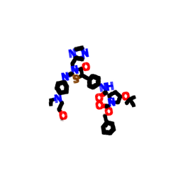 CCN(CCOC)c1ccc(/N=C2\SC(c3ccc(NC(=O)[C@@H]4C[C@@H](OC(C)(C)C)CN4C(=O)OCc4ccccc4)cc3)C(=O)N2Cc2cnccn2)cc1